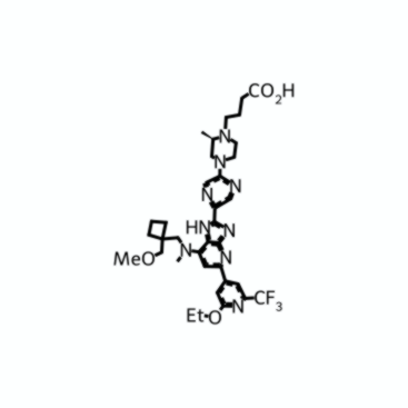 CCOc1cc(-c2cc(N(C)CC3(COC)CCC3)c3[nH]c(-c4cnc(N5CCN(CCCC(=O)O)[C@H](C)C5)cn4)nc3n2)cc(C(F)(F)F)n1